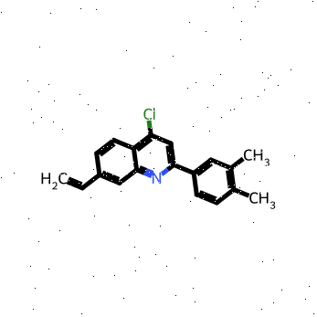 C=Cc1ccc2c(Cl)cc(-c3ccc(C)c(C)c3)nc2c1